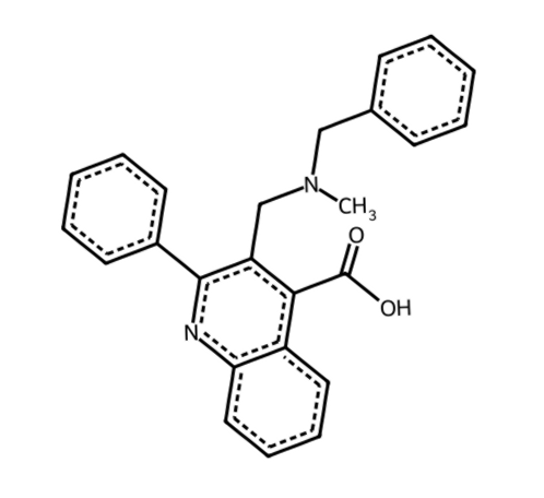 CN(Cc1ccccc1)Cc1c(-c2ccccc2)nc2ccccc2c1C(=O)O